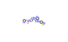 O=C(Cc1cccnc1)N1CC=C(C2Cc3c(Nc4ccc5ncsc5c4)ccnc3N2)CC1